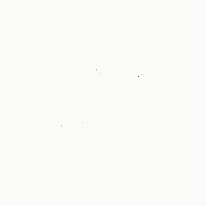 NC(=O)C1CCN(Cc2ccc([C@H]3COc4cccnc4O3)cc2)CC1